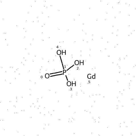 O=P(O)(O)O.[Gd]